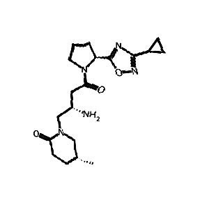 C[C@@H]1CCC(=O)N(C[C@@H](N)CC(=O)N2CCC[C@H]2c2nc(C3CC3)no2)C1